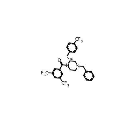 O=C(c1cc(C(F)(F)F)cc(C(F)(F)F)c1)N1CCN(Cc2ccccc2)C[C@H]1Cc1ccc(C(F)(F)F)cc1